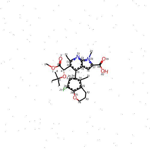 COC(=O)[C@@H](OC(C)(C)C)c1c(C)nc2c(cc(C(=O)O)n2C)c1-c1cc(F)c2c(c1C)CCCO2